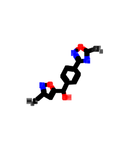 Cc1cc(C(O)c2ccc(-c3noc(C(F)(F)F)n3)cc2)on1